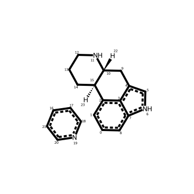 c1cc2c3c(c[nH]c3c1)C[C@H]1NCCC[C@H]21.c1ccncc1